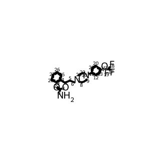 NC(=O)OC(CCN1CCN(c2ccc(OC(F)(F)F)cc2)CC1)c1ccccc1